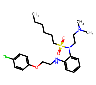 CCCCCCS(=O)(=O)N(CCN(C)C)c1ccccc1NCCOc1ccc(Cl)cc1